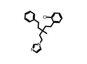 CC(CCc1ccccc1)(CCc1ccccc1Cl)CCn1ccnc1